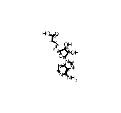 Nc1ncnc2c1ncn2[C@@H]1O[C@H](CSCC(=O)O)C(O)[C@@H]1O